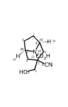 N#CC1(CO)C[C@H]2CC[C@@H](C1)N2C(=O)O